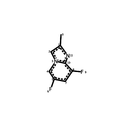 Cc1cn2cc(F)cc(F)c2n1